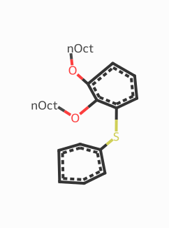 CCCCCCCCOc1cccc(Sc2ccccc2)c1OCCCCCCCC